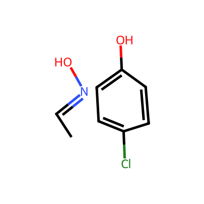 CC=NO.Oc1ccc(Cl)cc1